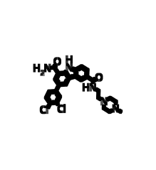 CN1CCN(CCNC(=O)c2ccc3[nH]c4c(C(N)=O)cc(-c5ccc(Cl)c(Cl)c5)cc4c3c2)CC1